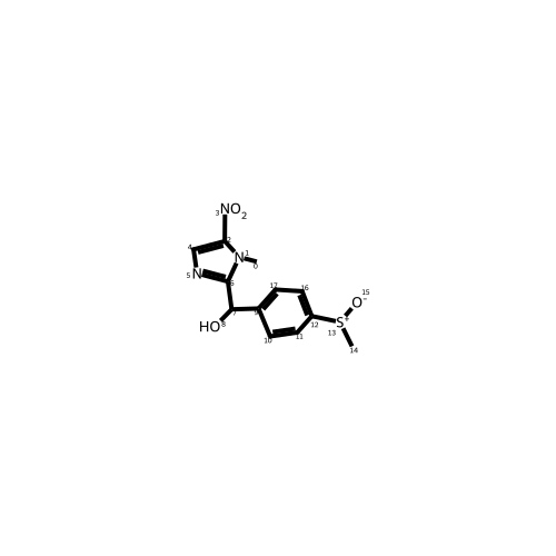 Cn1c([N+](=O)[O-])cnc1C(O)c1ccc([S+](C)[O-])cc1